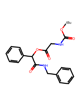 CC(C)(C)OC(=O)NCC(=O)OC(C(=O)NCc1ccccc1)c1ccccc1